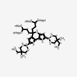 CCCCCCCCCC(CCCCCCC)CCC1(CCC(CCCCCCC)CCCCCCCCC)Oc2cc(B3OCC(C)(CO)CO3)sc2-c2sc(B3OCC(C)(CO)CO3)cc21